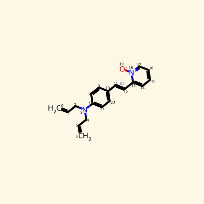 C=CCN(CC=C)c1ccc(/C=C/c2cccc[n+]2[O-])cc1